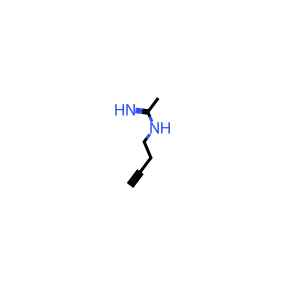 C#CCCNC(C)=N